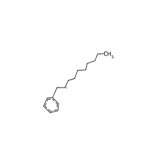 CCCCCCCC[C]Cc1ccccc1